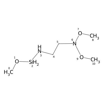 CO[SiH2]NCCN(OC)OC